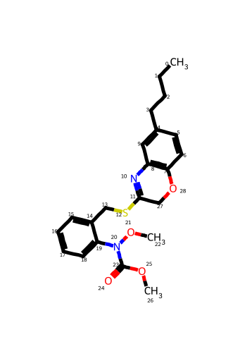 CCCCc1ccc2c(c1)N=C(SCc1ccccc1N(OC)C(=O)OC)CO2